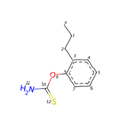 CCCc1ccccc1OC(N)=S